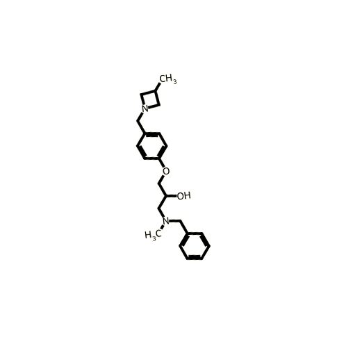 CC1CN(Cc2ccc(OCC(O)CN(C)Cc3ccccc3)cc2)C1